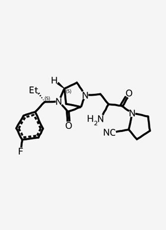 CC[C@@H](c1ccc(F)cc1)N1C(=O)C2C[C@H]1CN2CC(N)C(=O)N1CCCC1C#N